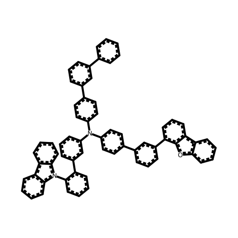 c1ccc(-c2cccc(-c3ccc(N(c4ccc(-c5cccc(-c6cccc7c6oc6ccccc67)c5)cc4)c4cccc(-c5ccccc5-n5c6ccccc6c6ccccc65)c4)cc3)c2)cc1